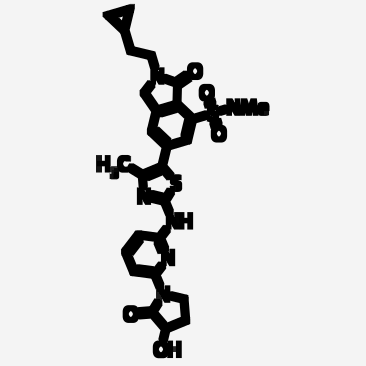 CNS(=O)(=O)c1cc(-c2sc(Nc3cccc(N4CCC(O)C4=O)n3)nc2C)cc2c1C(=O)N(CCC1CC1)C2